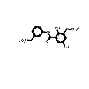 O=C(O)Cc1cccc(NC(=O)c2cc(O)cc(CC(=O)O)c2O)c1